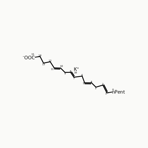 CCCCCC=CCC=CCC=CCC=CCCCC(=O)[O-].[K+]